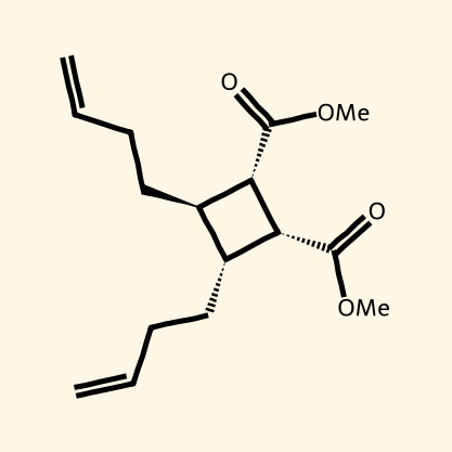 C=CCC[C@@H]1[C@@H](CCC=C)[C@H](C(=O)OC)[C@@H]1C(=O)OC